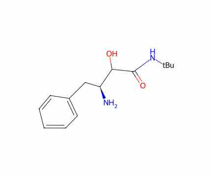 CC(C)(C)NC(=O)C(O)[C@@H](N)Cc1ccccc1